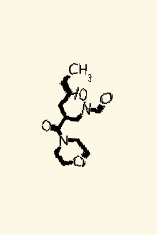 CCCCC(CN(O)C=O)C(=O)N1CCOCC1